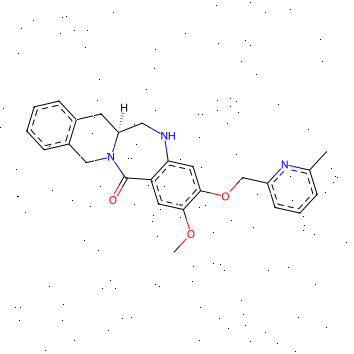 COc1cc2c(cc1OCc1cccc(C)n1)NC[C@@H]1Cc3ccccc3CN1C2=O